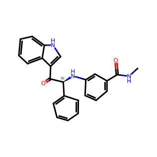 CNC(=O)c1cccc(N[C@H](C(=O)c2c[nH]c3ccccc23)c2ccccc2)c1